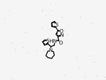 O=C(NCC(c1cccs1)N1CCCCCC1)c1cc(-c2cccs2)on1